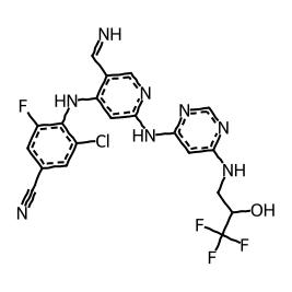 N#Cc1cc(F)c(Nc2cc(Nc3cc(NCC(O)C(F)(F)F)ncn3)ncc2C=N)c(Cl)c1